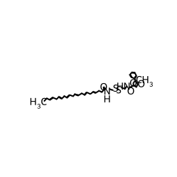 CCC=CCC=CCC=CCC=CCC=CCC=CCCC(=O)NCCSSCCNC(=O)C1=CC(=O)C(C)(c2ccccc2)O1